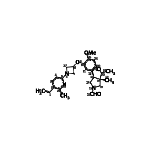 C=Cc1ccc(N2CC(Oc3cc([C@@H]4CN(C=O)C[C@@]4(C)C(C)O)ccc3OC)C2)nc1C